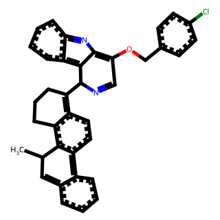 CC1C=c2ccccc2=c2ccc3c(c21)CCCC=3C1N=CC(OCc2ccc(Cl)cc2)=C2N=c3c[c]ccc3=C21